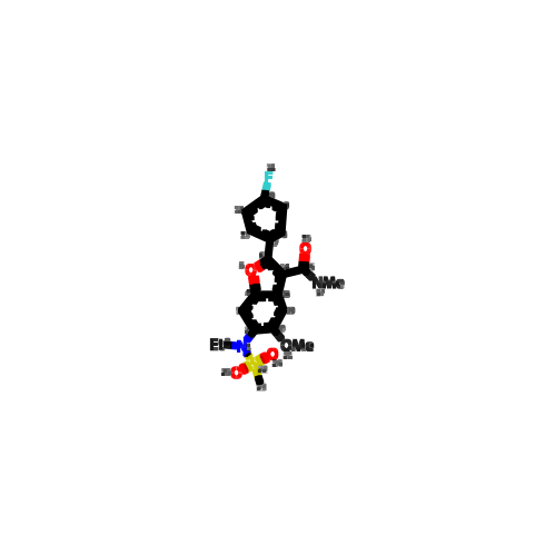 CCN(c1cc2oc(-c3ccc(F)cc3)c(C(=O)NC)c2cc1OC)S(C)(=O)=O